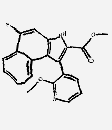 COC(=O)c1[nH]c2cc(F)c3ccccc3c2c1-c1cccnc1OC